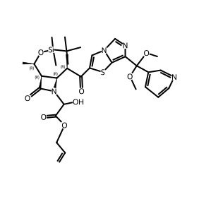 C=CCOC(=O)C(O)N1C(=O)[C@@H]([C@@H](C)O[Si](C)(C)C(C)(C)C)[C@H]1[C@@H](C)C(=O)c1cn2cnc(C(OC)(OC)c3cccnc3)c2s1